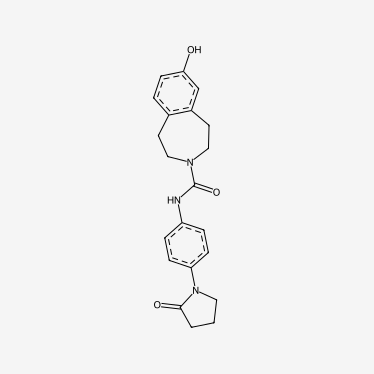 O=C(Nc1ccc(N2CCCC2=O)cc1)N1CCc2ccc(O)cc2CC1